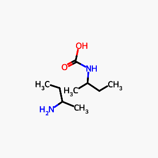 CCC(C)N.CCC(C)NC(=O)O